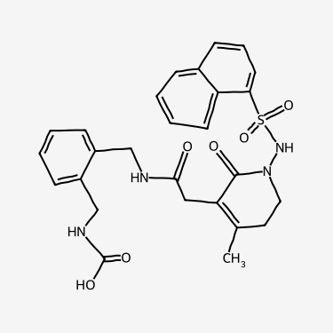 CC1=C(CC(=O)NCc2ccccc2CNC(=O)O)C(=O)N(NS(=O)(=O)c2cccc3ccccc23)CC1